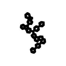 c1ccc(-c2ccc(-c3cccc4ccc5c6cc(N(c7ccc(-c8ccccc8)cc7)c7ccc8c9ccccc9n(-c9ccc%10oc%11ccccc%11c%10c9)c8c7)ccc6ccc5c34)cc2)cc1